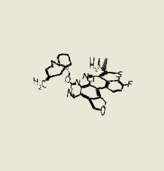 C=C1CN2CCC[C@@]2(COc2ncc3c4c(c(-c5ccc(F)c6sc(N)c(C#N)c56)c(Cl)c3n2)COC4)C1